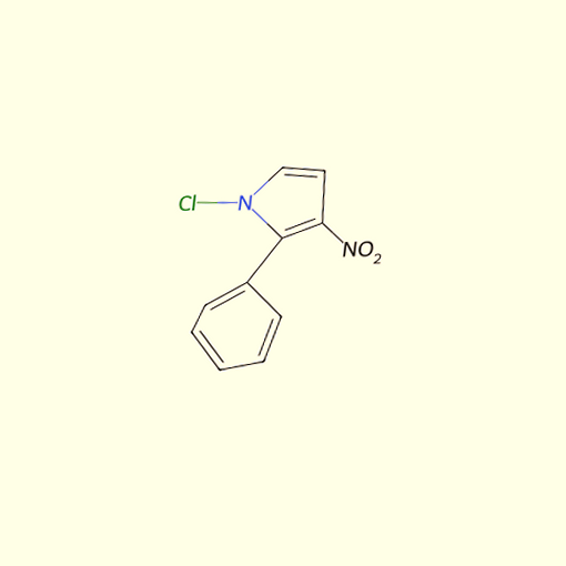 O=[N+]([O-])c1ccn(Cl)c1-c1ccccc1